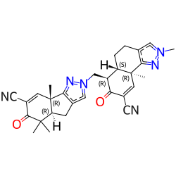 Cn1cc2c(n1)[C@@]1(C)C=C(C#N)C(=O)[C@@H](Cn3cc4c(n3)[C@@]3(C)C=C(C#N)C(=O)C(C)(C)[C@@H]3C4)[C@@H]1CC2